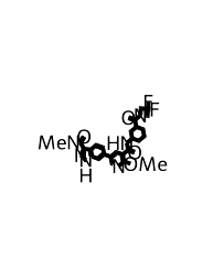 CNC(=O)c1n[nH]c2cc(-c3cnc(OC)c(C(=O)NC4CCCC(C(=O)N5CC(F)(F)C5)C4)c3)ccc12